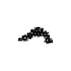 CC(=O)N1CCC(c2ncc(-c3cc4cnc(Nc5ccc(OC6CCCNC6)cc5)nc4n(CC(F)(F)F)c3=O)cn2)CC1